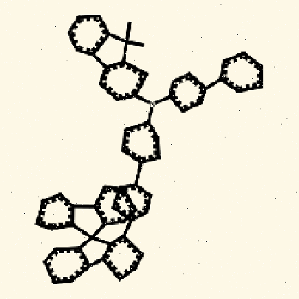 CC1(C)c2ccccc2-c2ccc(N(c3ccc(-c4ccccc4)cc3)c3ccc(-c4ccc(-c5cccc6c5C5(c7ccccc7-c7ccccc75)c5ccccc5-6)cc4)cc3)cc21